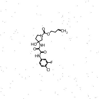 C=CCCOC(=O)N1CCC(O)(NC(=O)C(=O)Nc2ccc(Cl)c(F)c2)C1